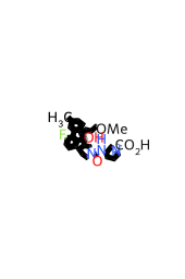 COCCCC[C@@](O)(c1cccc(F)c1-c1cccc(C)c1)C1CCCN(C(=O)NC2CCCN(C(=O)O)C2)C1